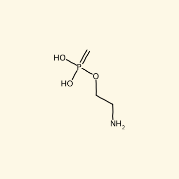 C=P(O)(O)OCCN